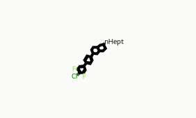 CCCCCCCC1CCC2CC(c3ccc(-c4cc(F)c(Cl)c(F)c4)cc3)CCC2C1